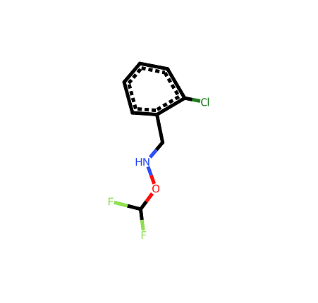 FC(F)ONCc1ccccc1Cl